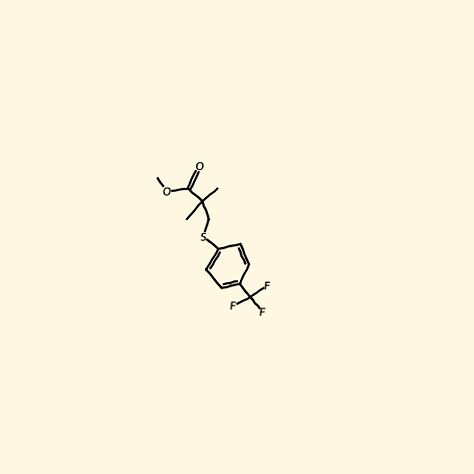 COC(=O)C(C)(C)CSc1ccc(C(F)(F)F)cc1